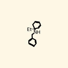 CC[C@@]1(NCc2ccccc2)C=CC=CC1